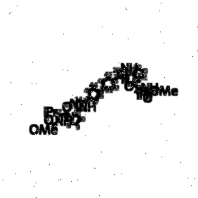 COC(=O)N[C@H](C(=O)N1CC=C[C@H]1c1ncc(-c2ccc(-c3ccc(-c4c[nH]c([C@@H]5CCCN5C(=O)[C@@H](NC(=O)OC)C(C)C)n4)cc3)cc2)[nH]1)C(C)C